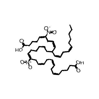 CCCCC/C=C\C/C=C\C(/C=C\C/C(=C\CCCC(=O)O)[N+](=O)[O-])CCCCC/C=C(\C/C=C\C/C=C\C/C=C\CCCC(=O)O)[N+](=O)[O-]